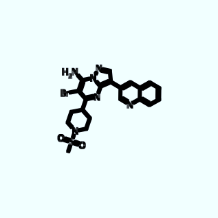 CS(=O)(=O)N1CCC(c2nc3c(-c4cnc5ccccc5c4)cnn3c(N)c2Br)CC1